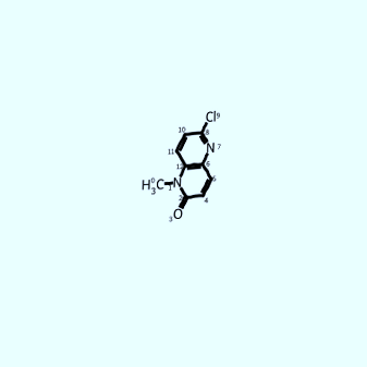 Cn1c(=O)ccc2nc(Cl)ccc21